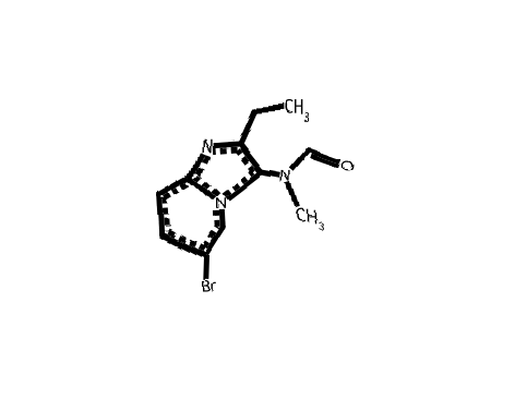 CCc1nc2ccc(Br)cn2c1N(C)C=O